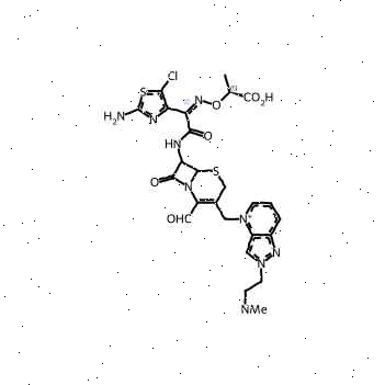 CNCCn1cc2c(ccc[n+]2CC2=C(C=O)N3C(=O)C(NC(=O)/C(=N\O[C@@H](C)C(=O)O)c4nc(N)sc4Cl)C3SC2)n1